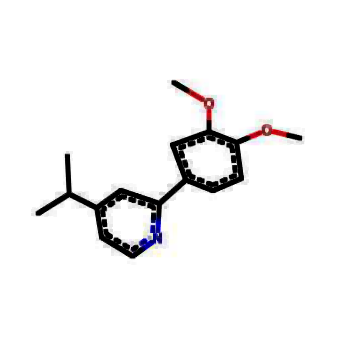 COc1ccc(-c2cc(C(C)C)ccn2)cc1OC